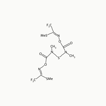 CS/C(=N\OC(=O)N(C)SN(C)C(=O)O/N=C(\SC)C(F)(F)F)C(F)(F)F